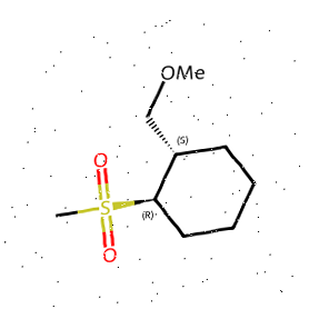 COC[C@@H]1CCCC[C@H]1S(C)(=O)=O